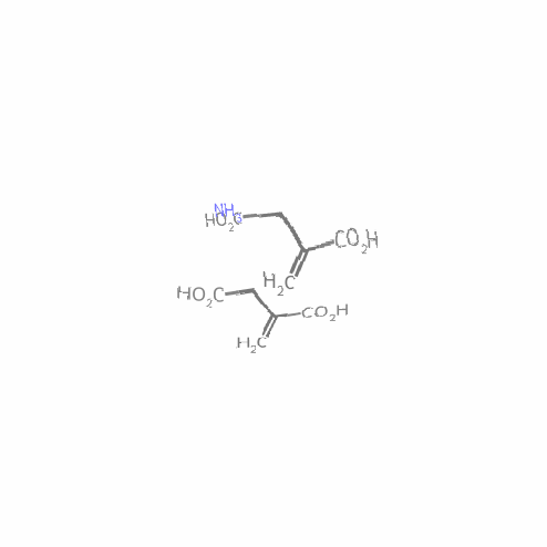 C=C(CC(=O)O)C(=O)O.C=C(CC(=O)O)C(=O)O.N